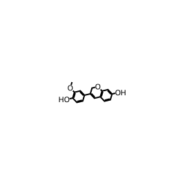 COc1cc(C2=Cc3ccc(O)cc3OC2)ccc1O